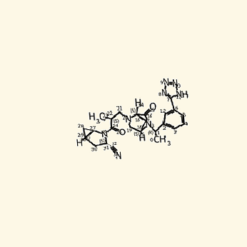 C[C@H](c1cccc(-c2nnn[nH]2)c1)N1C(=O)[C@@H]2C[C@H]1CN2C[C@H](C)C(=O)N1C2C[C@H]2C[C@H]1C#N